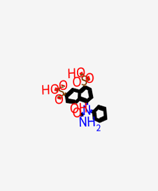 NC(=O)N(c1ccccc1)c1ccc(S(=O)(=O)O)c2cc(S(=O)(=O)O)cc(O)c12